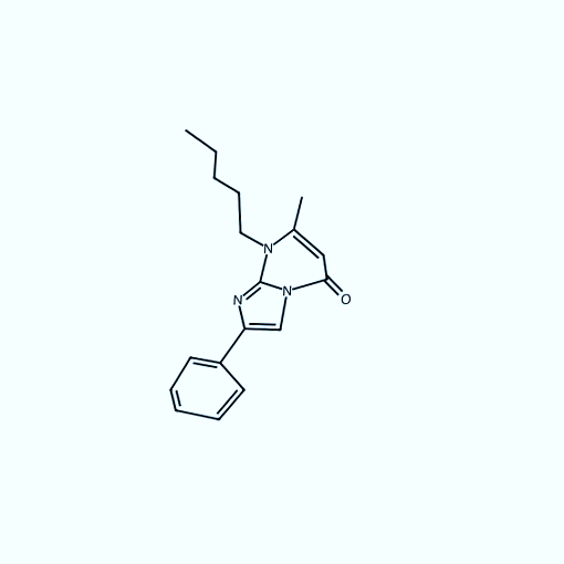 CCCCCn1c(C)cc(=O)n2cc(-c3ccccc3)nc12